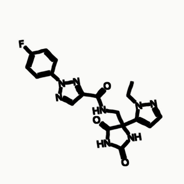 CCn1nccc1C1(CNC(=O)c2cnn(-c3ccc(F)cc3)n2)NC(=O)NC1=O